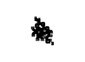 C=CC(=O)OC(O[Si](C)(C)CCC(F)(F)F)[SiH](O[Si](C)(C)C)O[Si](C)(C)C